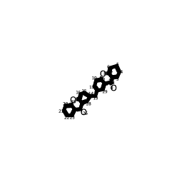 O=c1c2ccccc2oc2ccc(Cc3ccc4oc5ccccc5c(=O)c4c3)cc12